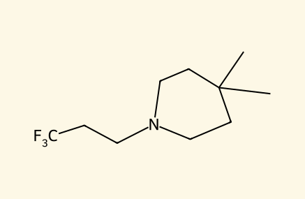 CC1(C)CCN(CCC(F)(F)F)CC1